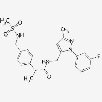 CC(C(=O)NCc1cc(C(F)(F)F)nn1-c1cccc(F)c1)c1ccc(CNS(C)(=O)=O)cc1